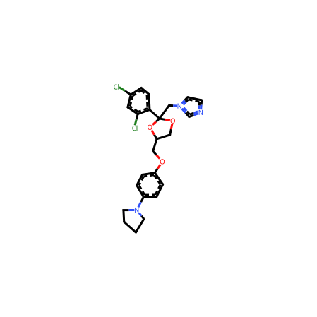 Clc1ccc(C2(Cn3ccnc3)OCC(COc3ccc(N4CCCC4)cc3)O2)c(Cl)c1